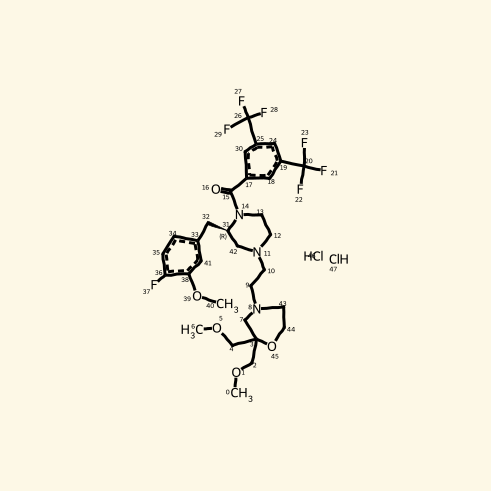 COCC1(COC)CN(CCN2CCN(C(=O)c3cc(C(F)(F)F)cc(C(F)(F)F)c3)[C@H](Cc3ccc(F)c(OC)c3)C2)CCO1.Cl.Cl